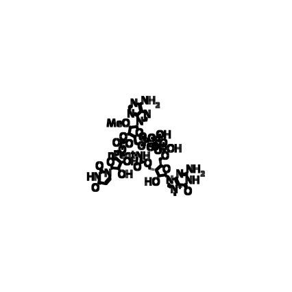 CCCCCNC(=O)OC[C@H]1[C@@H](O)[C@H](n2c[n+](C)c3c(=O)[nH]c(N)nc32)O[C@@H]1COP(=O)(O)OP(=O)(O)OP(=O)(O)OCC1O[C@@H](n2cnc3c(N)ncnc32)[C@H](OC)[C@@H]1OP(=O)([O-])OC[C@H]1O[C@@H](n2ccc(=O)[nH]c2=O)[C@H](O)[C@@H]1O